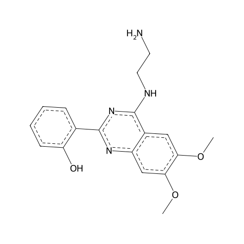 COc1cc2nc(-c3ccccc3O)nc(NCCN)c2cc1OC